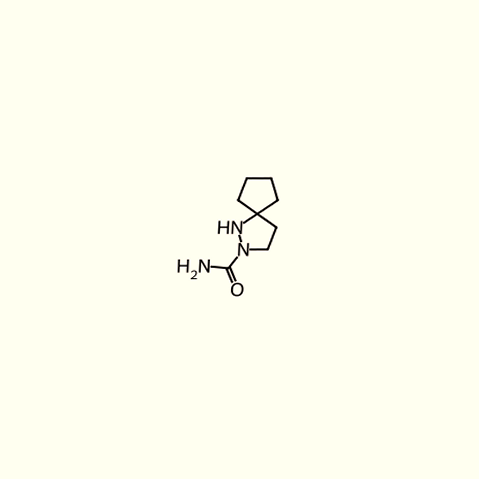 NC(=O)N1CCC2(CCCC2)N1